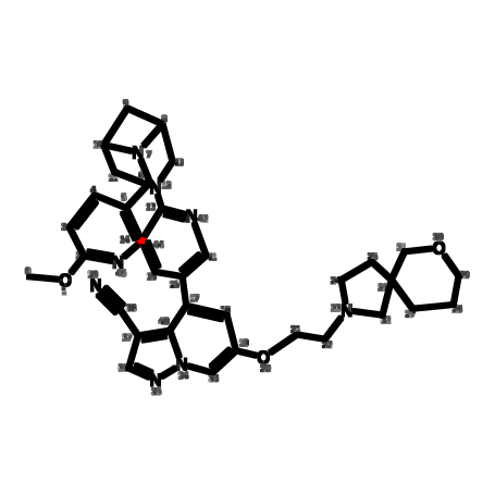 COc1ccc(CN2C3CC2CN(c2ccc(-c4cc(OCCN5CCC6(CCCOC6)C5)cn5ncc(C#N)c45)cn2)C3)cn1